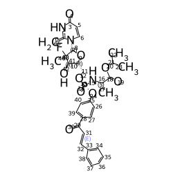 C=C1NC(=O)C=CN1[C@@H]1O[C@H](COP(=O)(N[C@@H](C)C(=O)OC(C)C)Oc2ccc(C(=O)/C=C/c3ccccc3)cc2)[C@@H](O)[C@@]1(C)F